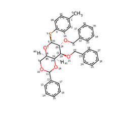 Cc1ccc(S[C@@H]2O[C@@H]3COC(c4ccccc4)O[C@@H]3[C@H](OCc3ccccc3)[C@H]2OCc2ccccc2)cc1